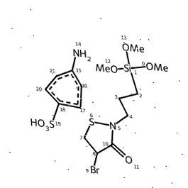 CO[Si](CCCN1SCC(Br)C1=O)(OC)OC.Nc1ccc(S(=O)(=O)O)cc1